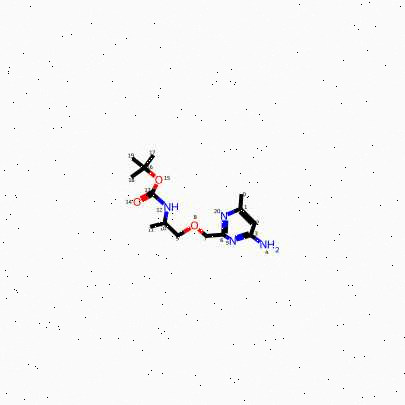 Cc1cc(N)nc(COCC(C)NC(=O)OC(C)(C)C)n1